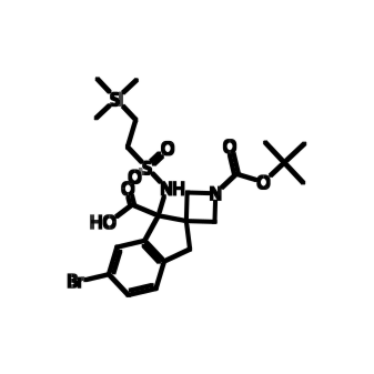 CC(C)(C)OC(=O)N1CC2(Cc3ccc(Br)cc3C2(NS(=O)(=O)CC[Si](C)(C)C)C(=O)O)C1